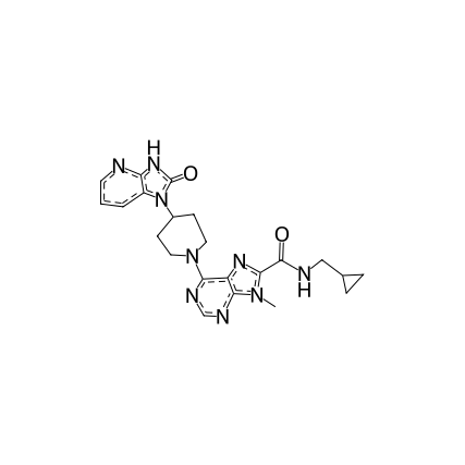 Cn1c(C(=O)NCC2CC2)nc2c(N3CCC(n4c(=O)[nH]c5ncccc54)CC3)ncnc21